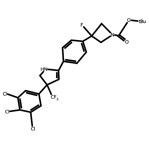 CC(C)(C)OC(=O)N1CC(F)(c2ccc(C3=CC(c4cc(Cl)c(Cl)c(Cl)c4)(C(F)(F)F)CN3)cc2)C1